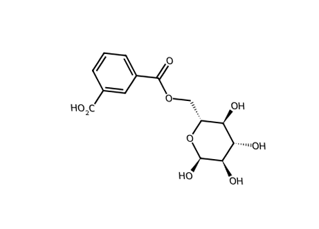 O=C(O)c1cccc(C(=O)OC[C@H]2O[C@H](O)[C@H](O)[C@@H](O)[C@@H]2O)c1